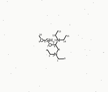 CCN(CC)CC(O[SiH2]OC)N(CC)CC